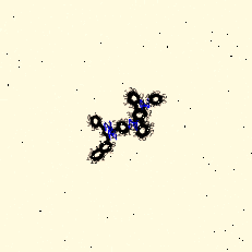 c1ccc(-c2cc(-c3ccc4ccccc4c3)nc(-c3ccc(-n4c5ccccc5c5cc6c(cc54)c4ccccc4n6-c4ccccc4)cc3)n2)cc1